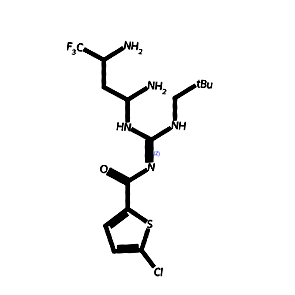 CC(C)(C)CN/C(=N/C(=O)c1ccc(Cl)s1)NC(N)CC(N)C(F)(F)F